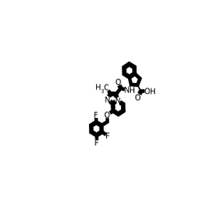 Cc1nc2c(OCc3c(F)ccc(F)c3F)cccn2c1C(=O)N[C@@H]1c2ccccc2C[C@H]1C(=O)O